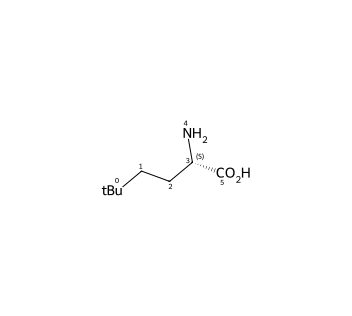 CC(C)(C)CC[C@H](N)C(=O)O